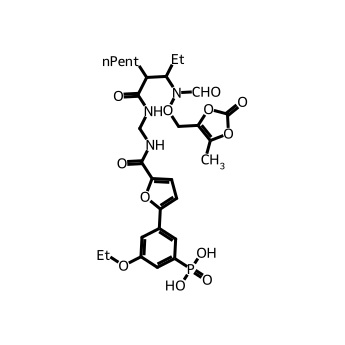 CCCCCC(C(=O)NCNC(=O)c1ccc(-c2cc(OCC)cc(P(=O)(O)O)c2)o1)C(CC)N(C=O)OCc1oc(=O)oc1C